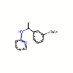 [CH2]C(Nc1ccccn1)c1cccc(OC)c1